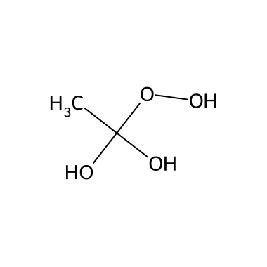 CC(O)(O)OO